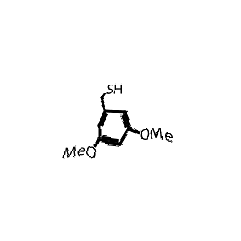 COc1cc(CS)cc(OC)c1